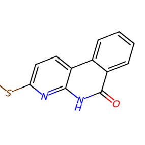 CSc1ccc2c(n1)[nH]c(=O)c1ccccc12